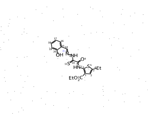 CCOC(=O)c1cc(CC)sc1NC(=O)C(=S)N/N=C/c1ccccc1O